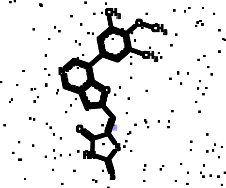 COc1c(C)cc(-c2cncc3cc(/C=C4/SC(=S)NC4=O)oc23)cc1C